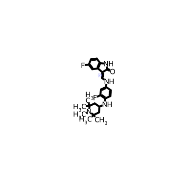 CN1C(C)(C)CC(Nc2ccc(N/C=C3\C(=O)Nc4ccc(F)cc43)cc2F)CC1(C)C